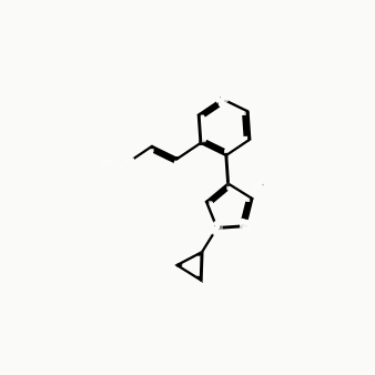 Cl.O=C(O)C=Cc1cnccc1-c1cnn(C2CC2)c1